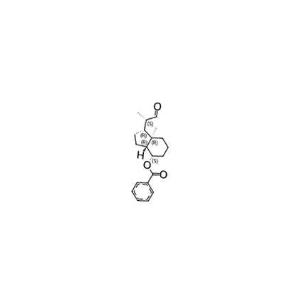 C[C@H](C=O)[C@H]1CC[C@H]2[C@@H](OC(=O)c3ccccc3)CCC[C@]12C